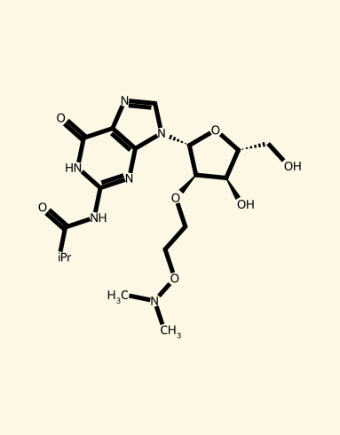 CC(C)C(=O)Nc1nc2c(ncn2[C@@H]2O[C@H](CO)[C@@H](O)[C@H]2OCCON(C)C)c(=O)[nH]1